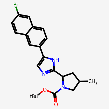 CC1CC(c2ncc(-c3ccc4cc(Br)ccc4c3)[nH]2)N(C(=O)OC(C)(C)C)C1